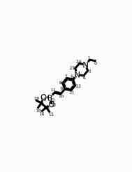 CCN1CCN(c2ccc(C=CB3OC(C)(C)C(C)(C)O3)cc2)CC1